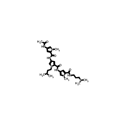 CC(=O)Nc1cc(C(=O)Nc2cc(C(=O)Nc3cc(C(=O)NCCCN(C)C)n(C)c3)n(CCC(C)C)c2)n(C)c1